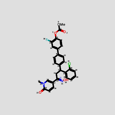 COC(=O)Oc1ccc(-c2ccc(C(C/C(=N\O)c3ccc(=O)n(C)c3)c3ccccc3Cl)cc2)cc1F